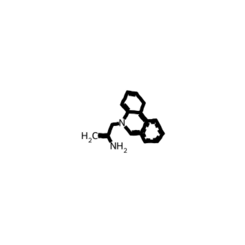 C=C(N)CN1C=c2ccccc2=C2CC=CC=C21